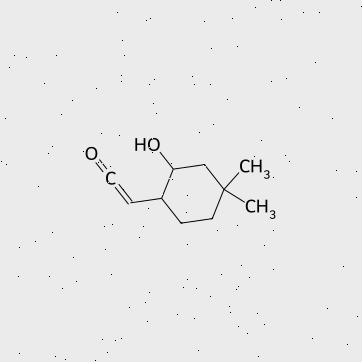 CC1(C)CCC(C=C=O)C(O)C1